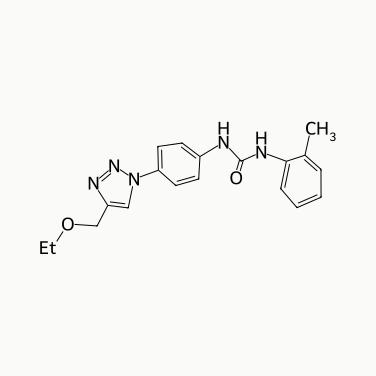 CCOCc1cn(-c2ccc(NC(=O)Nc3ccccc3C)cc2)nn1